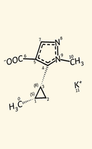 C[C@H]1C[C@H]1c1c(C(=O)[O-])cnn1C.[K+]